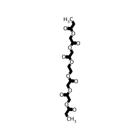 CCC(=O)OCC(=O)OCC(=O)OCCOC(=O)COC(=O)COC(=O)CC